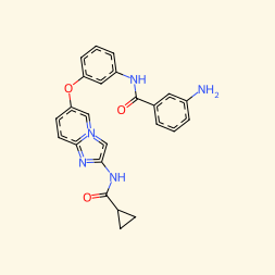 Nc1cccc(C(=O)Nc2cccc(Oc3ccc4nc(NC(=O)C5CC5)cn4c3)c2)c1